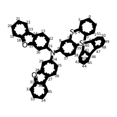 c1ccc2c(c1)Sc1cc(N(c3ccc4c(c3)oc3ccccc34)c3ccc4c(c3)oc3ccccc34)ccc1[Si]21c2ccccc2-c2ccccc21